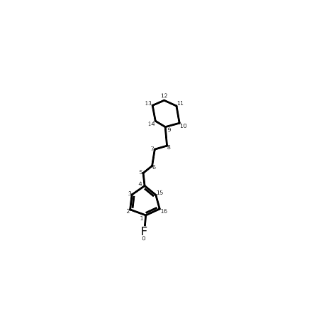 Fc1ccc(CCCCC2CCCCC2)cc1